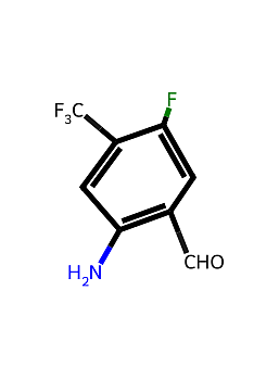 Nc1cc(C(F)(F)F)c(F)cc1C=O